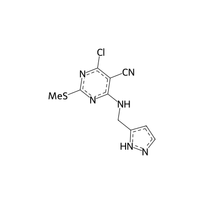 CSc1nc(Cl)c(C#N)c(NCc2ccn[nH]2)n1